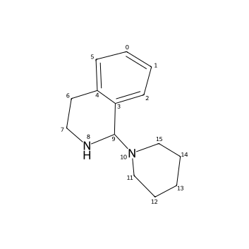 c1ccc2c(c1)CCNC2N1CCCCC1